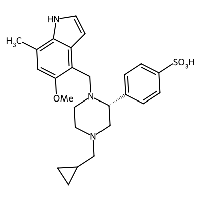 COc1cc(C)c2[nH]ccc2c1CN1CCN(CC2CC2)C[C@H]1c1ccc(S(=O)(=O)O)cc1